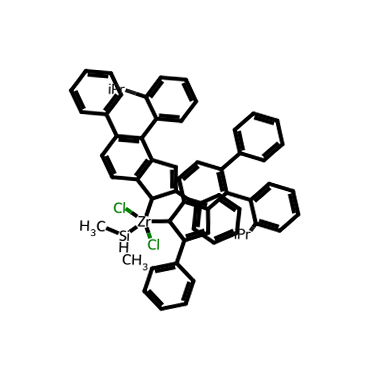 CC(C)c1ccccc1-c1c(-c2ccccc2)ccc2c1C=C(c1ccccc1)[CH]2[Zr]([Cl])([Cl])([CH]1C(c2ccccc2)=Cc2c1ccc(-c1ccccc1)c2-c1ccccc1C(C)C)[SiH](C)C